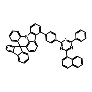 c1ccc(-c2nc(-c3ccc(-c4cccc5c4-c4cccc6c4B5c4ccccc4C64c5ccccc5-c5ccccc54)cc3)nc(-c3cccc4ccccc34)n2)cc1